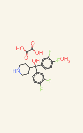 O.O=C(O)C(=O)O.OC(c1ccc(F)c(F)c1)(c1ccc(F)c(F)c1)C1CCNCC1